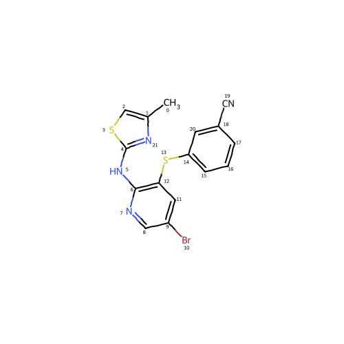 Cc1csc(Nc2ncc(Br)cc2Sc2cccc(C#N)c2)n1